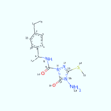 CCc1ccc(C(C)NC(=O)n2nc(SC)n(N)c2=O)cc1